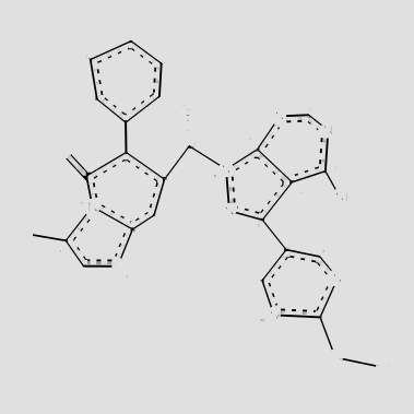 CC(C)Oc1ncc(-c2nn([C@@H](C)c3cc4scc(Cl)n4c(=O)c3-c3ccccc3)c3ncnc(N)c23)cn1